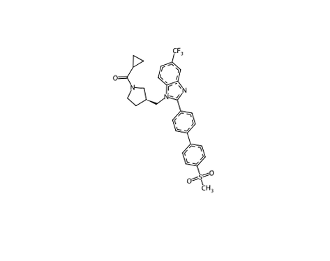 CS(=O)(=O)c1ccc(-c2ccc(-c3nc4cc(C(F)(F)F)ccc4n3C[C@H]3CCN(C(=O)C4CC4)C3)cc2)cc1